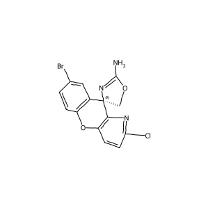 NC1=N[C@]2(CO1)c1cc(Br)ccc1Oc1ccc(Cl)nc12